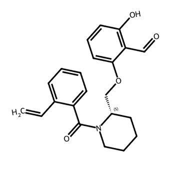 C=Cc1ccccc1C(=O)N1CCCC[C@H]1COc1cccc(O)c1C=O